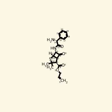 C=CCOC(=O)[C@@H]1C2C(=O)[C@@H](NC(=O)[C@H](N)c3ccccc3)[C@H]2SC1(C)C